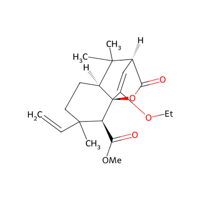 C=CC1(C)CC[C@H]2C(C)(C)[C@@H]3C=C(OCC)[C@]2(OC3=O)[C@H]1C(=O)OC